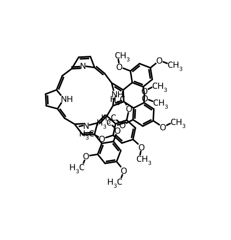 COc1cc(OC)c(C2=Cc3cc4ccc(cc5nc(cc6[nH]c(c(-c7c(OC)cc(OC)cc7OC)c2n3)c(-c2c(OC)cc(OC)cc2OC)c6-c2c(OC)cc(OC)cc2OC)C=C5)[nH]4)c(OC)c1